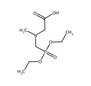 CCOP(=O)(CN(C)CC(=O)O)OCC